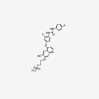 CS(=O)(=O)CCCOc1cc2nccc(Oc3ccc(NC(=O)Nc4ccc(F)cc4)c(F)c3)c2cc1C#N